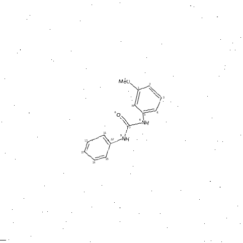 COc1cccc(NC(=O)Nc2ccccc2)c1